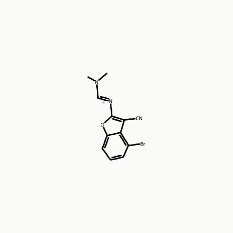 CN(C)/C=N/c1oc2cccc(Br)c2c1C#N